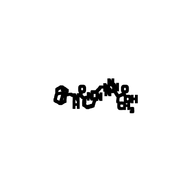 CCC(C(=O)O)c1nnn(Cc2cn3c(C(=O)NCC45CC6CC(CC(C6)C4)C5)cccc3n2)n1